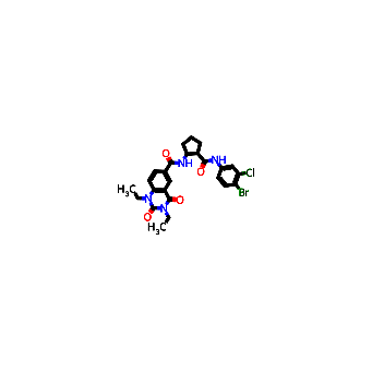 CCn1c(=O)c2cc(C(=O)NC3CCCC3C(=O)Nc3ccc(Br)c(Cl)c3)ccc2n(CC)c1=O